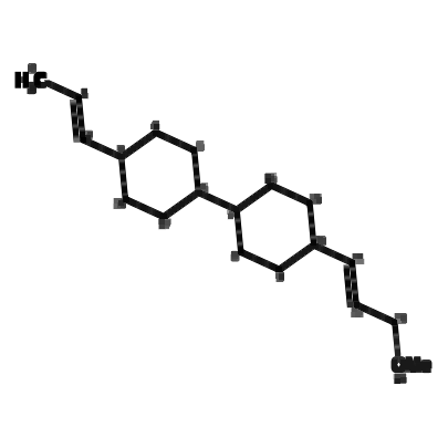 CC=CC1CCC(C2CCC(C=CCOC)CC2)CC1